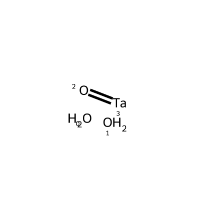 O.O.[O]=[Ta]